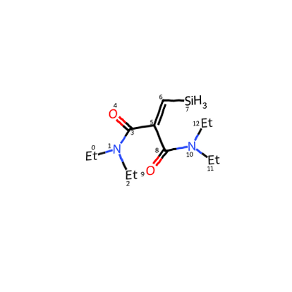 CCN(CC)C(=O)C(=C[SiH3])C(=O)N(CC)CC